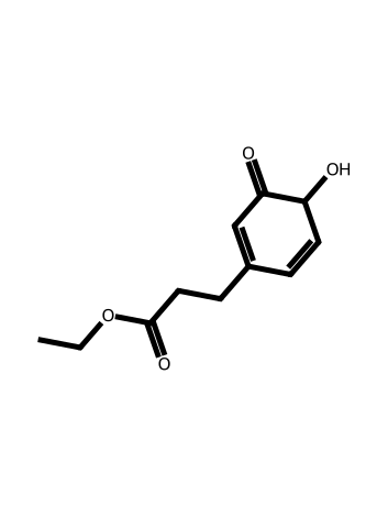 CCOC(=O)CCC1=CC(=O)C(O)C=C1